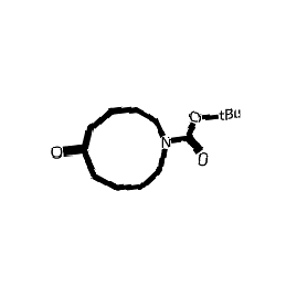 CC(C)(C)OC(=O)N1CCCCC(=O)CCCC1